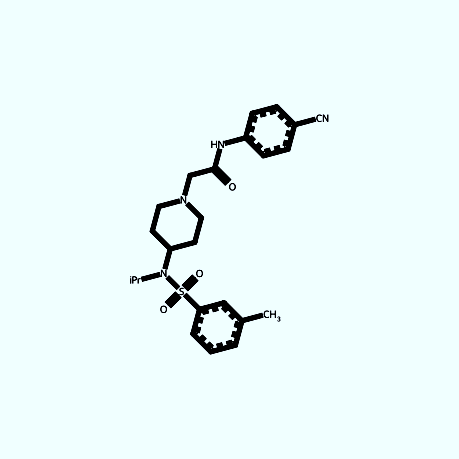 Cc1cccc(S(=O)(=O)N(C(C)C)C2CCN(CC(=O)Nc3ccc(C#N)cc3)CC2)c1